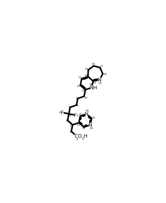 O=C(O)CC(CC(F)(F)CCCCC1=CC=C2CCCCN=C2N1)c1cncnc1